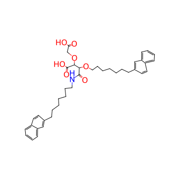 O=C(O)COC(C(=O)O)C(OCCCCCCCc1ccc2ccccc2c1)C(=O)NCCCCCCCc1ccc2ccccc2c1